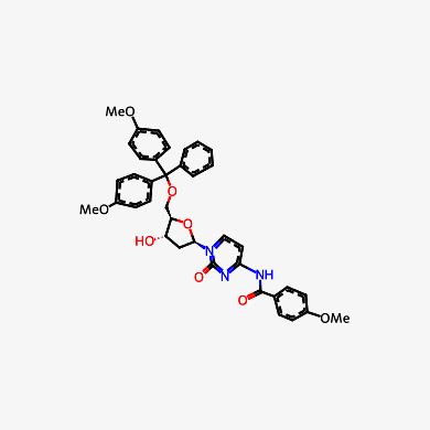 COc1ccc(C(=O)Nc2ccn([C@H]3C[C@H](O)[C@@H](COC(c4ccccc4)(c4ccc(OC)cc4)c4ccc(OC)cc4)O3)c(=O)n2)cc1